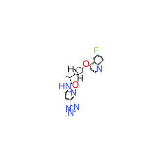 CC(C(=O)Nc1ccc(C2N=CN=N2)cn1)[C@H]1[C@@H]2C[C@@H](Oc3ccnc4ccc(F)cc34)C[C@@H]21